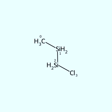 C[SiH2][SiH2]Cl